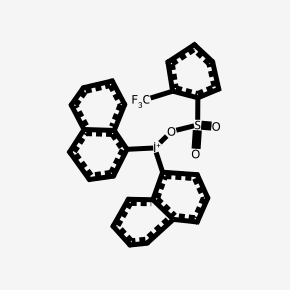 O=S(=O)(O[I+](c1cccc2ccccc12)c1cccc2ccccc12)c1ccccc1C(F)(F)F